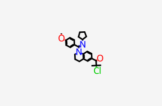 COc1ccc(C(=NC2CCCC2)N2CCCc3cc(C(=O)C(C)(C)Cl)ccc32)cc1